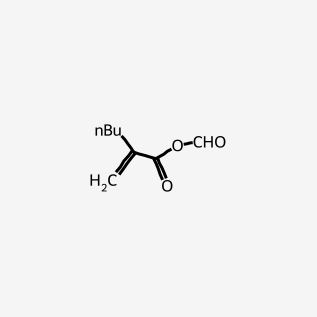 C=C(CCCC)C(=O)OC=O